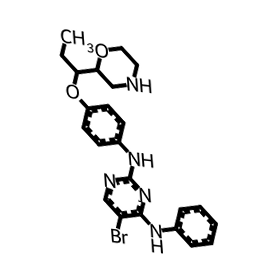 CCC(Oc1ccc(Nc2ncc(Br)c(Nc3ccccc3)n2)cc1)C1CNCCO1